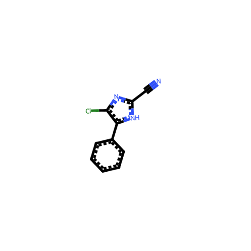 N#Cc1nc(Cl)c(-c2ccccc2)[nH]1